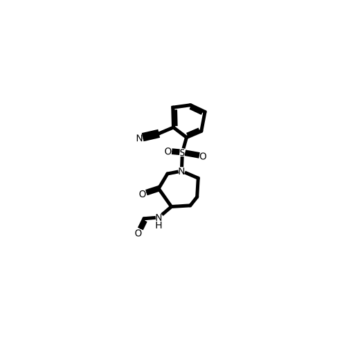 N#Cc1ccccc1S(=O)(=O)N1CCCC(NC=O)C(=O)C1